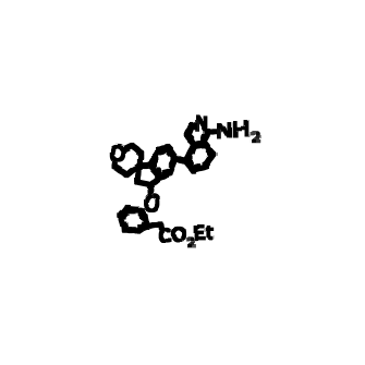 CCOC(=O)Cc1ccccc1OC1CC2(CCOCC2)c2ccc(-c3cccc4c(N)nccc34)cc21